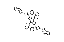 CC1(C)c2ccccc2-c2ccc(C3C=CC(N(c4ccccc4)c4ccc5c(C6C=Cc7ccccc7C6)c6cc(N(C7=CCC(c8ccc9c(c8)C(C)(C)c8ccccc8-9)C=C7)c7ccccc7)ccc6c(-c6ccc7ccccc7c6)c5c4)=CC3)cc21